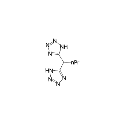 CCCC(c1nnn[nH]1)c1nnn[nH]1